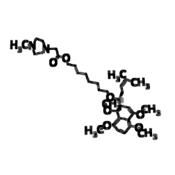 COc1ccc(OC)c2c(OC)c([C@H](CC=C(C)C)OCCCCCCCCOC(=O)CN3CCN(C)CC3)cc(OC)c12